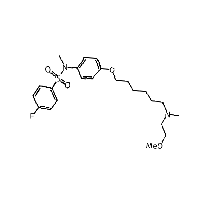 COCCN(C)CCCCCCOc1ccc(N(C)S(=O)(=O)c2ccc(F)cc2)cc1